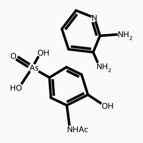 CC(=O)Nc1cc([As](=O)(O)O)ccc1O.Nc1cccnc1N